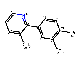 Cc1cc(-c2ncccc2C)ccc1C(C)C